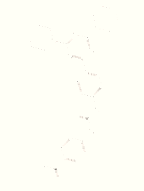 C[C@@H]1COCCN1c1nc(-c2ccc(NC(=O)Nc3ccc(C(N)=O)cc3)cc2)nc(N2CCOC[C@H]2C)n1